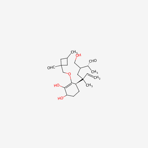 C=CC(C)(CC(CO)[C@@H](C)C=O)[C@H]1CCC(O)C(O)=C1OCC1(C=O)CC(C)C1